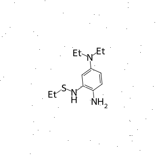 CCSNc1cc(N(CC)CC)ccc1N